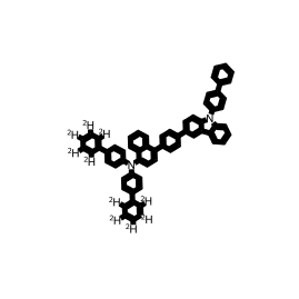 [2H]c1c([2H])c([2H])c(-c2ccc(N(c3ccc(-c4c([2H])c([2H])c([2H])c([2H])c4[2H])cc3)c3ccc(-c4ccc(-c5ccc6c(c5)c5ccccc5n6-c5ccc(-c6ccccc6)cc5)cc4)c4ccccc34)cc2)c([2H])c1[2H]